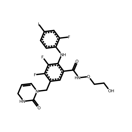 O=C(NOCCO)c1cc(CN2C=CCNC2=O)c(F)c(F)c1Nc1ccc(I)cc1F